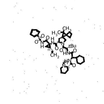 C=C[C@@H]1C[C@]1(NC(=O)[C@@H]1C[C@@]2(CN1C(=O)[C@@H](NC(=O)C(NC(=O)[C@@H]1CCCCN1C(C)C)C1CCCCC1)C(C)(C)C)C(C)(C)C21CCC1)C(=O)NS(=O)(=O)c1ccccc1